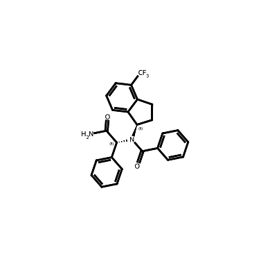 NC(=O)[C@@H](c1ccccc1)N(C(=O)c1ccccc1)[C@@H]1CCc2c1cccc2C(F)(F)F